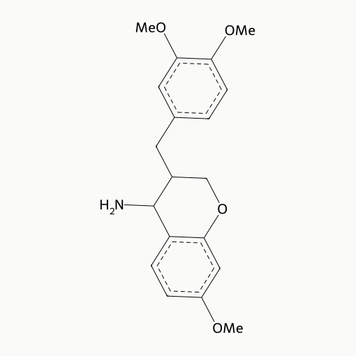 COc1ccc2c(c1)OCC(Cc1ccc(OC)c(OC)c1)C2N